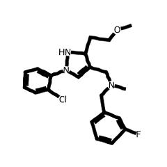 COCCC1NN(c2ccccc2Cl)C=C1CN(C)Cc1cccc(F)c1